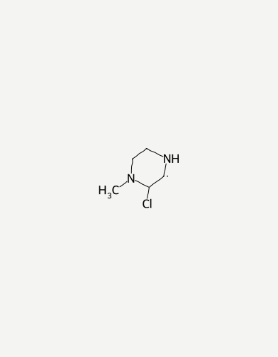 CN1CCN[CH]C1Cl